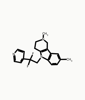 Cc1ccc2c(c1)c1c(n2CC(F)(F)c2ccncc2)CCN(C)C1